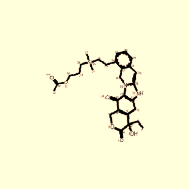 CCC1(O)C(=O)OCC2=C1CC1=C(C2=O)N2Cc3c(cccc3CC[Si](C)(C)CCCOC(C)=O)C=C2N1